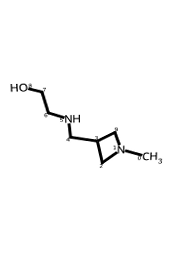 CN1CC(CNCCO)C1